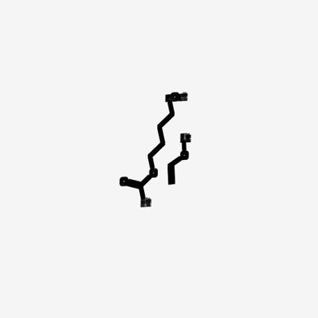 C=COCC.CCCCCCCCCCCCOC(=O)CC